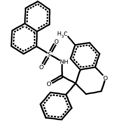 Cc1ccc2c(c1)C(C(=O)NS(=O)(=O)c1cccc3ccccc13)(c1ccccc1)CCO2